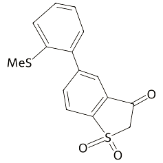 CSc1ccccc1-c1ccc2c(c1)C(=O)CS2(=O)=O